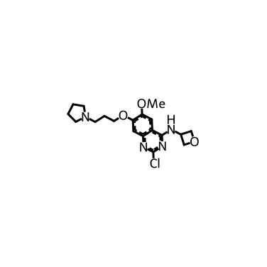 COc1cc2c(NC3COC3)nc(Cl)nc2cc1OCCCN1CCCC1